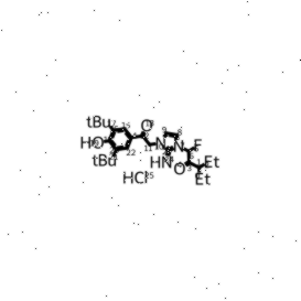 CCC(CC)C(=O)C(F)n1ccn(CC(=O)c2cc(C(C)(C)C)c(O)c(C(C)(C)C)c2)c1=N.Cl